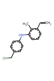 C=Cc1cccc(Nc2ccc(CCl)cc2)c1C